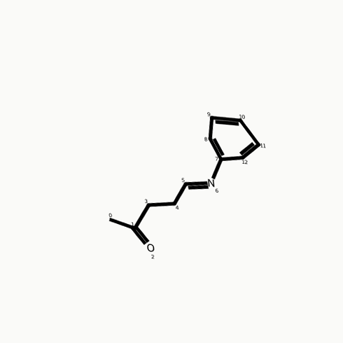 CC(=O)CCC=Nc1ccccc1